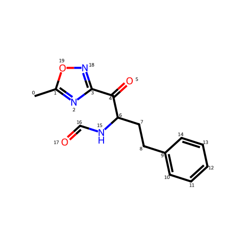 Cc1nc(C(=O)C(CCc2ccccc2)NC=O)no1